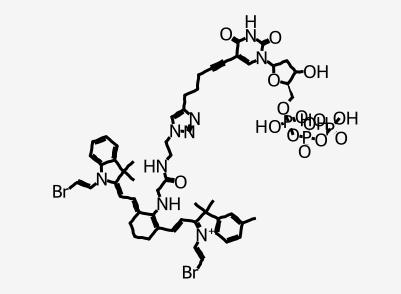 Cc1ccc2c(c1)C(C)(C)C(/C=C/C1=C(NCC(=O)NCCn3cc(CCCC#Cc4cn(C5CC(O)[C@@H](COP(=O)(O)OP(=O)(O)OP(=O)(O)O)O5)c(=O)[nH]c4=O)nn3)C(=C/C=C3/N(/C=C/Br)c4ccccc4C3(C)C)/CCC1)=[N+]2/C=C/Br